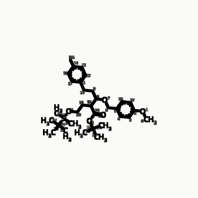 COc1ccc(COC(CCc2ccc(I)cc2)C(CCO[Si](C)(C)C(C)(C)C)C(=O)OC(C)(C)C)cc1